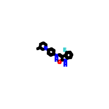 CC1CCCN(c2ccc(NC=C3C(=O)Nc4cccc(F)c43)cc2)C1